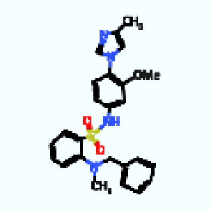 COc1cc(NS(=O)(=O)c2ccccc2N(C)Cc2ccccc2)ccc1-n1cnc(C)c1